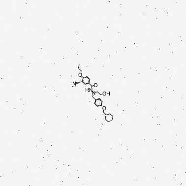 CCCOc1ccc(C(=O)NN(CCO)Cc2ccc(OCC3CCCCC3)cc2)cc1C#N